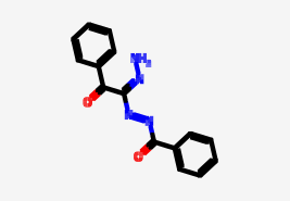 NN=C(N=NC(=O)c1ccccc1)C(=O)c1ccccc1